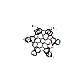 Cc1ccc2c(c1)c1ccccc1n2-c1c(-c2cc(-c3ccccc3)nc(-c3ccccc3)n2)c(-n2c3ccccc3c3cc(C)ccc32)c(-n2c3ccccc3c3cc(C)ccc32)c(-n2c3ccccc3c3cc(C)ccc32)c1-c1nc(-c2ccccc2)cc(-c2ccccc2)n1